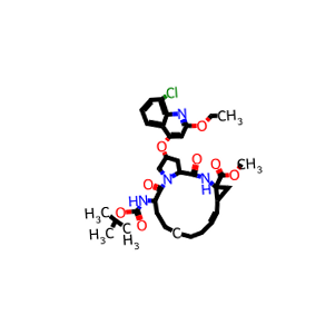 CCOc1cc(OC2CC3C(=O)NC4(C(=O)OC)CC4C=CCCCCCC(NC(=O)OC(C)(C)C)C(=O)N3C2)c2cccc(Cl)c2n1